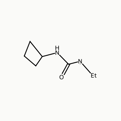 CC[N]C(=O)NC1CCC1